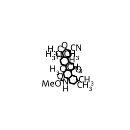 COC(=O)N[C@]12CCC(C)(C)CC1C1C(=O)C[C@@H]3[C@@]4(C)C=C(C#N)C(=O)C(C)(C)[C@@H]4CC[C@@]3(C)[C@]1(C)CC2